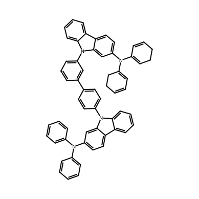 C1=CCCC(N(C2=CCCC=C2)c2ccc3c4ccccc4n(-c4cccc(-c5ccc(-n6c7ccccc7c7ccc(N(c8ccccc8)c8ccccc8)cc76)cc5)c4)c3c2)=C1